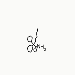 CCCCCCC(C(N)=O)(C1CCCCC1)C1CCCCC1